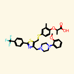 COc1ccccc1N1CCN(Cc2nc(-c3ccc(C(F)(F)F)cc3)sc2CSc2ccc(OC(C)C(=O)O)c(C)c2)CC1